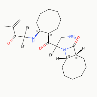 C=C(C)C(=O)C(CC)(CC)N[C@H]1CCCCCC[C@H]1C(=O)C(CC)(CN)N1C(=O)[C@@H]2CCCCCC[C@@H]21